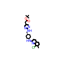 Cc1ccc2ccc(N[C@H]3CC[C@H](CNc4ncc(CC(=O)OC(C)(C)C)cn4)CC3)nc2c1Cl